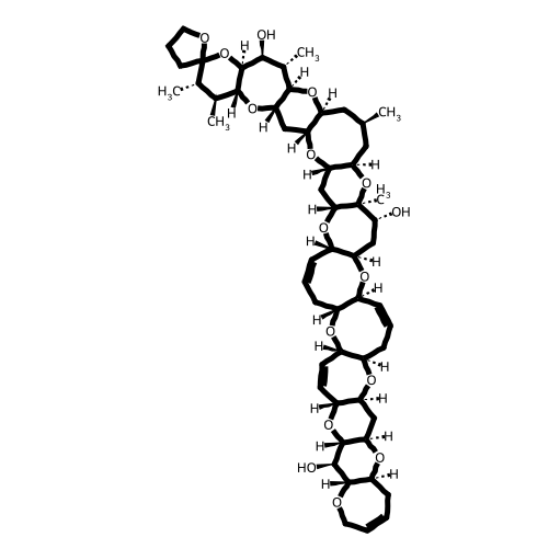 C[C@@H]1C[C@@H]2O[C@@H]3[C@@H](C)[C@H](O)[C@@H]4OC5(CCCO5)[C@@H](C)[C@H](C)[C@H]4O[C@H]3C[C@H]2O[C@H]2C[C@H]3O[C@H]4/C=C\C[C@H]5O[C@H]6C=C[C@H]7O[C@H]8[C@H](O)[C@H]9OCC=CC[C@@H]9O[C@@H]8C[C@@H]7O[C@@H]6C/C=C\[C@@H]5O[C@@H]4C[C@@H](O)[C@]3(C)O[C@@H]2C1